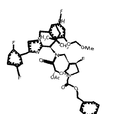 COCOc1cc(F)cc(Cn2cc(-c3cc(F)ccc3F)nc2[C@H](N(C[C@@H]2CN(C(=O)OCc3ccccc3)C[C@@H]2F)C(=O)[C@H](C)OC(C)=O)C(C)(C)CCO)c1